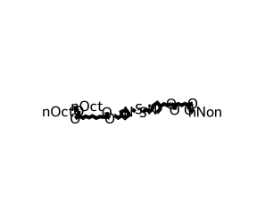 CCCCCCCCCOC(=O)CCCC(=O)OCCC1CCN(CCSSCCN2CCC(CCOC(=O)CCCCCCCC(=O)OC(CCCCCCCC)CCCCCCCC)CC2)CC1